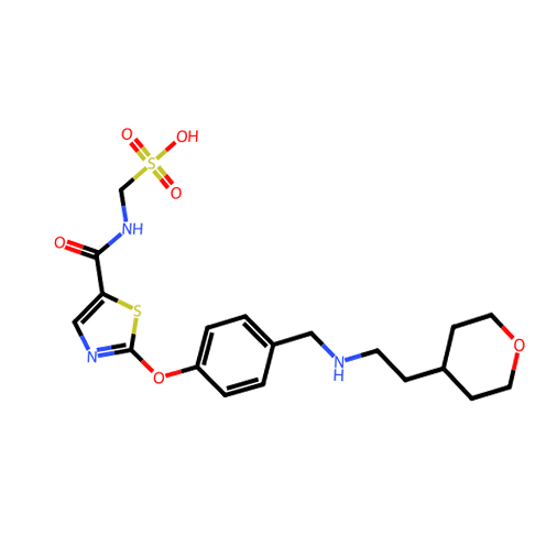 O=C(NCS(=O)(=O)O)c1cnc(Oc2ccc(CNCCC3CCOCC3)cc2)s1